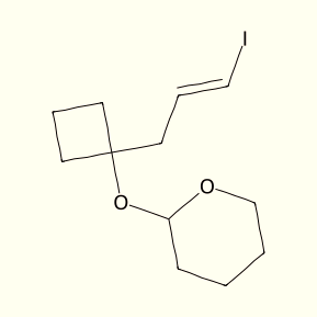 I/C=C/CC1(OC2CCCCO2)CCC1